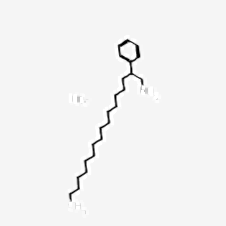 Br.CCCCCCCCCCCCCCCCC(CN)c1ccccc1